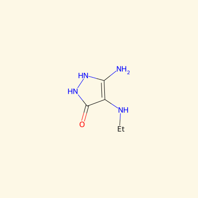 CCNc1c(N)[nH][nH]c1=O